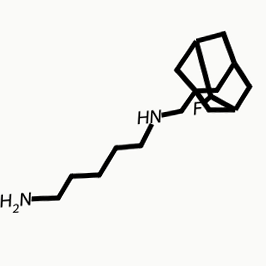 NCCCCCNCC12CC3CC(C1)C(F)C(C3)C2